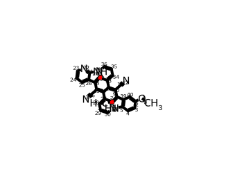 COc1ccc2[nH]c(C)c(/C(C#N)=C(\C(=C(\C#N)c3c[nH]c4ncccc34)c3cccnc3)c3cccnc3)c2c1